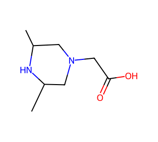 CC1CN(CC(=O)O)CC(C)N1